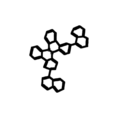 c1ccc2c(c1)B1c3ccccc3-c3cc(-c4cccc5ccccc45)ccc3N1c1ccc(-c3cccc4ccccc34)cc1-2